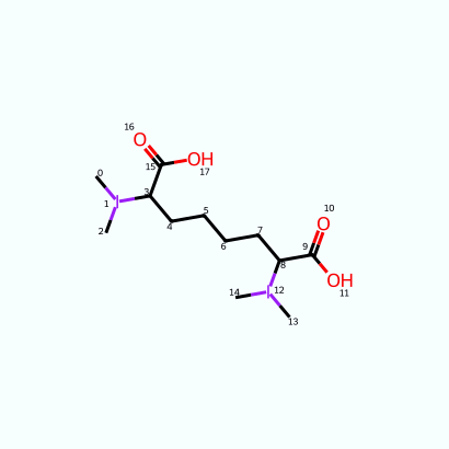 CI(C)C(CCCCC(C(=O)O)I(C)C)C(=O)O